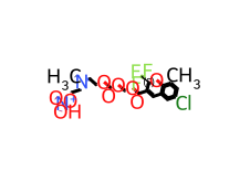 Cc1cc(Cl)cc2c1O[C@H](C(F)(F)F)C(C(=O)OCOC(=O)OCCN(C)CCO[N+](=O)O)=C2